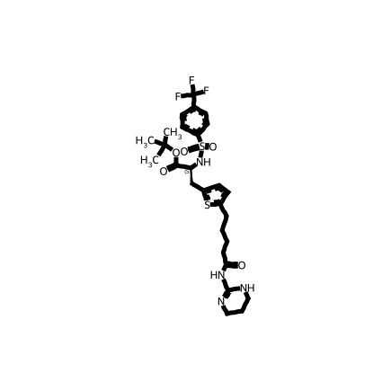 CC(C)(C)OC(=O)[C@H](Cc1ccc(CCCCC(=O)NC2=NCCCN2)s1)NS(=O)(=O)c1ccc(C(F)(F)F)cc1